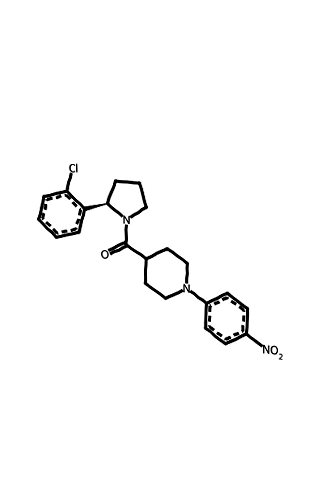 O=C(C1CCN(c2ccc([N+](=O)[O-])cc2)CC1)N1CCC[C@@H]1c1ccccc1Cl